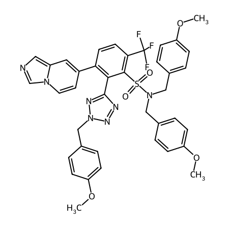 COc1ccc(CN(Cc2ccc(OC)cc2)S(=O)(=O)c2c(C(F)(F)F)ccc(-c3ccn4cncc4c3)c2-c2nnn(Cc3ccc(OC)cc3)n2)cc1